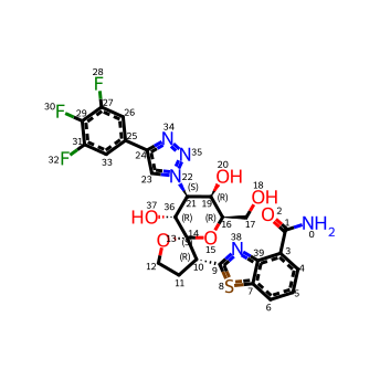 NC(=O)c1cccc2sc([C@@H]3CCO[C@]34O[C@H](CO)[C@H](O)[C@H](n3cc(-c5cc(F)c(F)c(F)c5)nn3)[C@H]4O)nc12